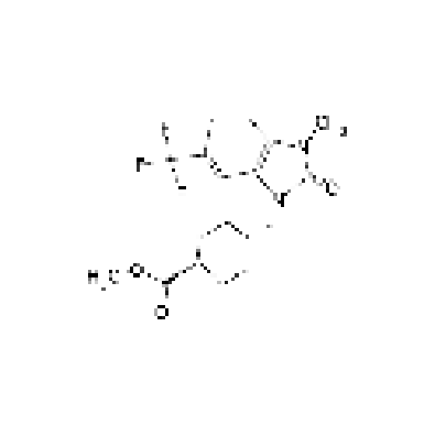 COC(=O)[C@H]1CC[C@H](Cn2c(=O)n(C)c3ccc(C(F)(F)F)cc32)CC1